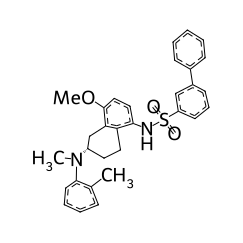 COc1ccc(NS(=O)(=O)c2cccc(-c3ccccc3)c2)c2c1C[C@@H](N(C)c1ccccc1C)CC2